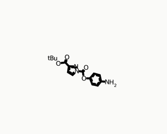 CC(C)(C)OC(=O)c1ccn(C(=O)Oc2ccc(N)cc2)n1